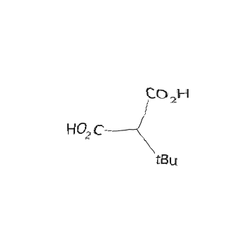 [CH2]C(C)(C)C(C(=O)O)C(=O)O